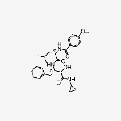 COc1ccc(C(=O)N[C@@H](CC(C)C)C(=O)N[C@@H](CC2=CCCC=C2)C(O)C(=O)NC2CC2)cc1